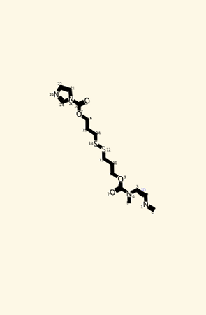 C=N/C=C\N(C)C(=O)OCCCSSCCCOC(=O)n1ccnc1